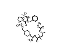 CC(C)OC(=O)OC(C)CC(C)(C)C(=O)N=C(N)N1CCC(CNC(=O)[C@@H]2CCCN2C(=O)[C@@H](Cc2ccccc2)NS(C)(=O)=O)CC1